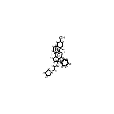 C[C@]12CCC(O)C=C1CC[C@@H]1[C@H]2CC[C@]2(C)C(OCCN3CCCC3)(c3ccccc3)CC[C@@]12O